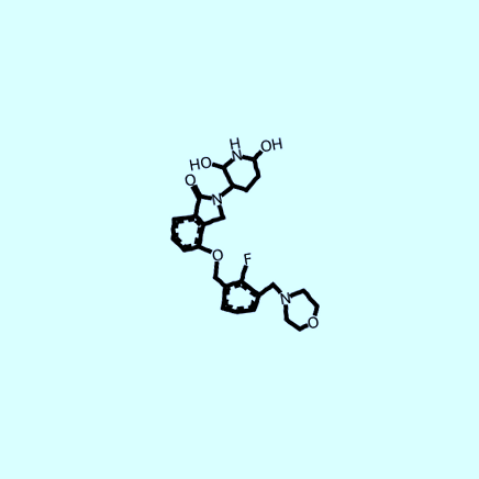 O=C1c2cccc(OCc3cccc(CN4CCOCC4)c3F)c2CN1C1CCC(O)NC1O